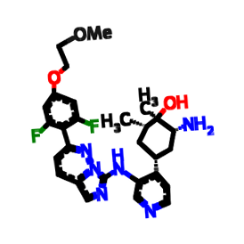 COCCOc1cc(F)c(-c2ccc3cnc(Nc4cnccc4[C@H]4C[C@@H](N)[C@](C)(O)[C@@H](C)C4)n3n2)c(F)c1